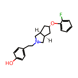 Oc1ccc(CCN2C[C@H]3C[C@H](Oc4ccccc4F)C[C@H]3C2)cc1